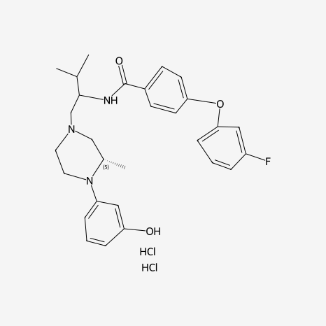 CC(C)C(CN1CCN(c2cccc(O)c2)[C@@H](C)C1)NC(=O)c1ccc(Oc2cccc(F)c2)cc1.Cl.Cl